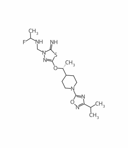 CC(F)NCn1nc(O[C@H](C)C2CCN(c3nc(C(C)C)no3)CC2)sc1=N